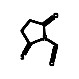 O=CN1C(=O)CCC1=S